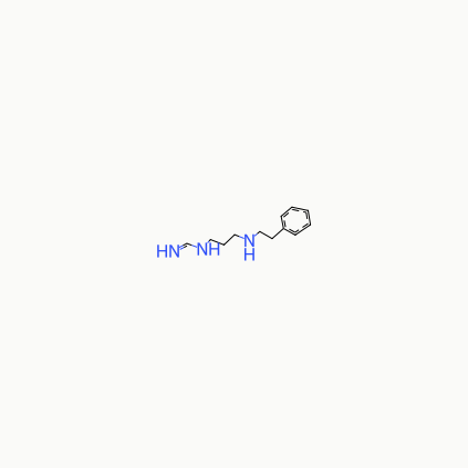 N=CNCCCNCCc1ccccc1